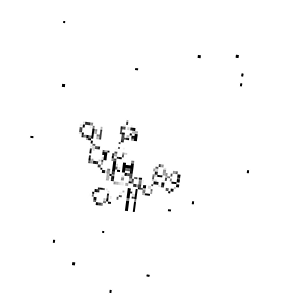 O=C(NN(Cc1ccc(-c2ccccn2)cc1)CC(O)C(Cc1ccccc1)NC(=O)OC1COC2OCCC12)OCc1cscn1